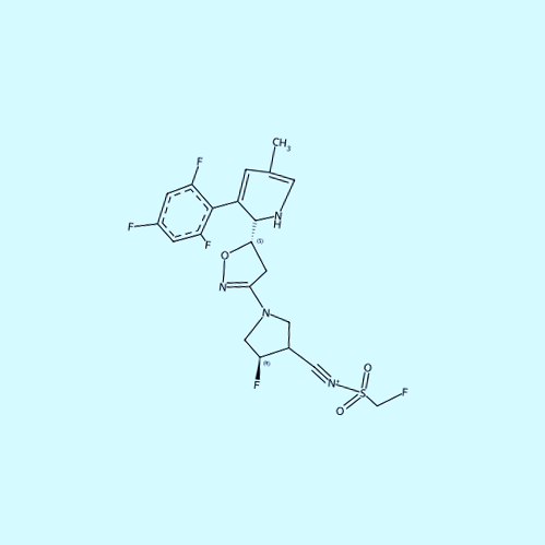 CC1=CNC([C@@H]2CC(N3CC(C#[N+]S(=O)(=O)CF)[C@@H](F)C3)=NO2)C(c2c(F)cc(F)cc2F)=C1